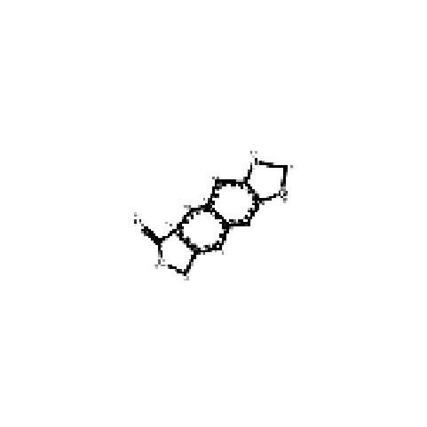 O=C1OCc2cc3cc4c(cc3cc21)OCO4